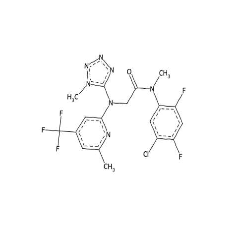 Cc1cc(C(F)(F)F)cc(N(CC(=O)N(C)c2cc(Cl)c(F)cc2F)c2nnnn2C)n1